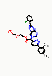 O=C(OCCOCCO)C(c1ccc(-c2ccc(C(F)(F)F)cc2C(F)(F)F)nn1)n1cnc2nc(-c3ccccc3F)nc-2c1